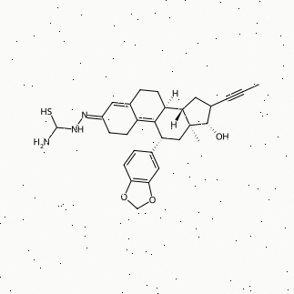 CC#CC1C[C@H]2[C@@H]3CCC4=C/C(=N/NC(N)S)CCC4=C3[C@@H](c3ccc4c(c3)OCO4)C[C@]2(C)[C@H]1O